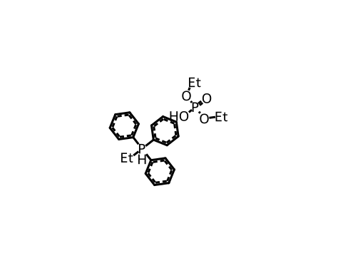 CCOP(=O)(O)OCC.CC[PH](c1ccccc1)(c1ccccc1)c1ccccc1